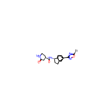 CCc1nc(-c2ccc3c(c2)CC[C@H]3NC(=O)C2CCNC(=O)C2)no1